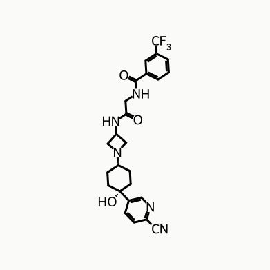 N#Cc1ccc([C@]2(O)CC[C@H](N3CC(NC(=O)CNC(=O)c4cccc(C(F)(F)F)c4)C3)CC2)cn1